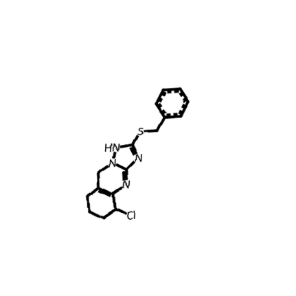 ClC1CCCC2=C1N=C1N=C(SCc3ccccc3)NN1C2